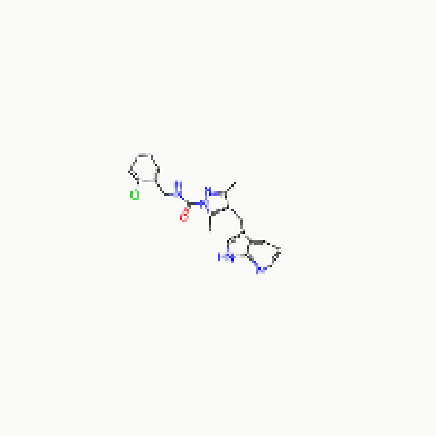 Cc1nn(C(=O)NCc2ccccc2Cl)c(C)c1Cc1c[nH]c2ncccc12